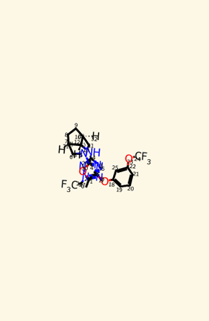 Cc1nnc(N2C[C@H]3CC[C@@H](C2)[C@@H]3Nc2nc(Oc3cccc(OC(F)(F)F)c3)n(CC(F)(F)F)n2)o1